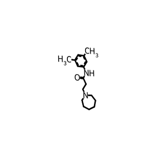 Cc1cc(C)cc(NC(=O)CCN2CCCCCC2)c1